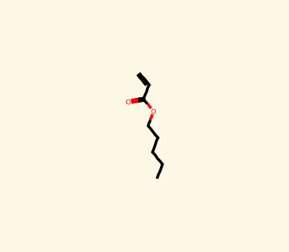 C=[C]C(=O)OCCCCC